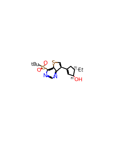 CC[C@H]1CC(c2csc3c(S(=O)(=O)C(C)(C)C)ncnc23)=C[C@@H]1O